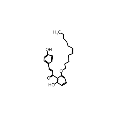 CCCCC/C=C\CCCCOc1cccc(O)c1C(=O)/C=C/c1ccc(O)cc1